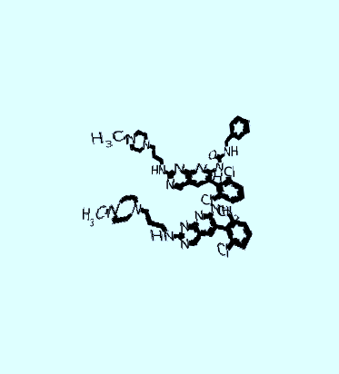 CN1CCN(CCCNc2ncc3cc(-c4c(Cl)cccc4Cl)c(N)nc3n2)CC1.CN1CCN(CCCNc2ncc3cc(-c4c(Cl)cccc4Cl)c(NC(=O)NCc4ccccc4)nc3n2)CC1